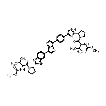 COC(=O)N[C@H](C(=O)N1CCC[C@H]1c1nc(-c2ccc(-c3csc4c(-c5ccc6nc([C@@H]7CCCN7C(=O)[C@@H](NC(=O)OC)C(C)C)[nH]c6c5)csc34)cc2)c[nH]1)C(C)C